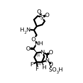 NC(CONC(=O)[C@@H]1CC(F)(F)[C@@H]2CN1C(=O)N2OS(=O)(=O)O)C1CCS(=O)(=O)CC1